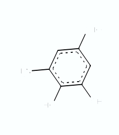 Nc1cc(C=O)cc(O)c1O